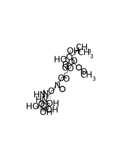 COc1ccc(-c2oc3c(CC=C(C)C)c(O)cc(O)c3c(=O)c2OC(=O)CCC(=O)OCCN(CCOC/C(=C/N[C@H]2O[C@@H](CO)[C@H](O)[C@@H](O)[C@@H]2O)N=N)c2ccccc2)cc1